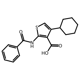 O=C(Nc1scc(C2CCCCC2)c1C(=O)O)c1ccccc1